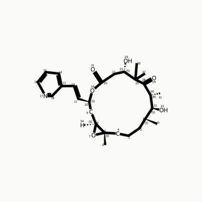 C[C@H]1CCC[C@]2(C)O[C@H]2C[C@@H](C=Cc2cccnc2)OC(=O)C[C@H](O)C(C)(C)C(=O)[C@H](C)[C@H]1O